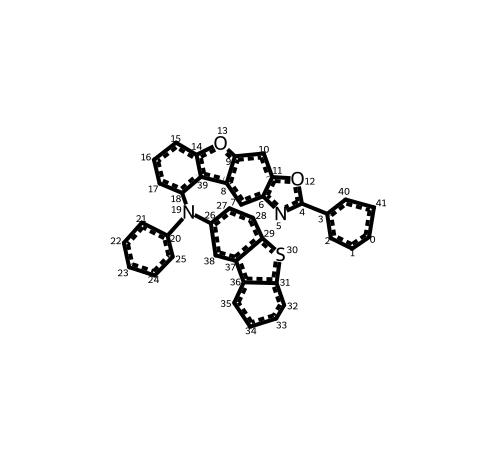 c1ccc(-c2nc3cc4c(cc3o2)oc2cccc(N(c3ccccc3)c3ccc5sc6ccccc6c5c3)c24)cc1